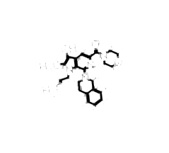 C=CCn1c(C)c(C)c2cc(C(=O)N3CCOCC3)nc(N3CCc4ccccc4C3)c21